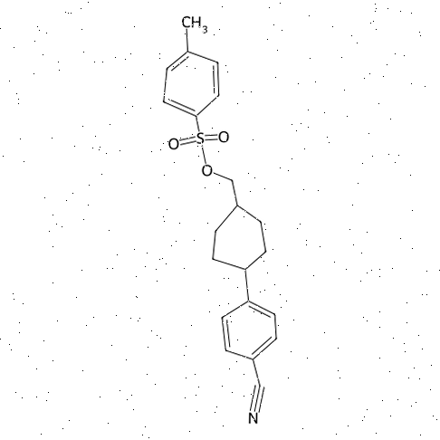 Cc1ccc(S(=O)(=O)OCC2CCC(c3ccc(C#N)cc3)CC2)cc1